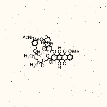 COc1cccc2c1C(=O)c1c(O)c3c(c(O)c1C2=O)C[C@@](O)(C(=O)COC(=O)N(C)CCN(C)C(=O)OCc1ccc(NC(C)=O)cc1)C[C@@H]3OC1C[C@H]2[C@H](O[C@@H]3[C@@H](OC)OCCN32)[C@H](C)O1